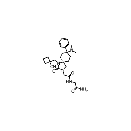 CN(C)[C@]1(c2ccccc2)CC[C@]2(CC1)CN(CC(=O)NCC(N)=O)C(=O)N2CC1(C#N)CCC1